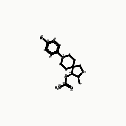 C[C@@H]1OCC2(CCN(c3cnc(Br)cn3)CC2)[C@@H]1OC(N)=O